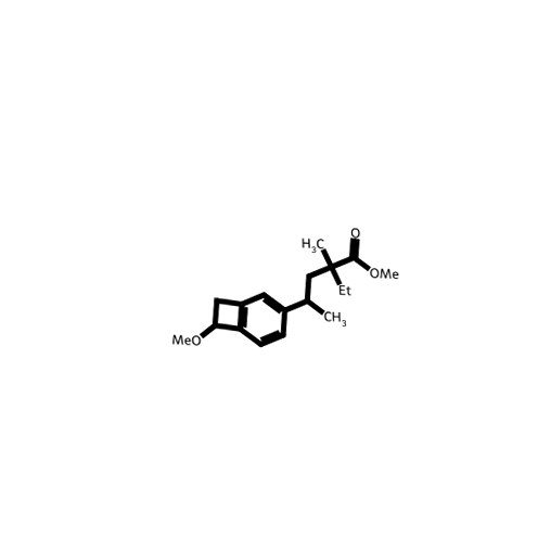 CCC(C)(CC(C)c1ccc2c(c1)CC2OC)C(=O)OC